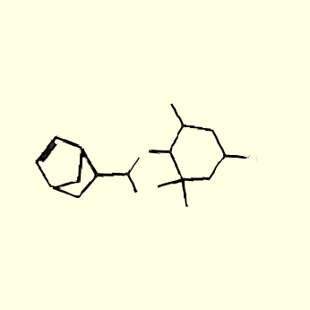 CC1CC(N)CC(C)(C)C1OC(O)C1CC2C=CC1C2